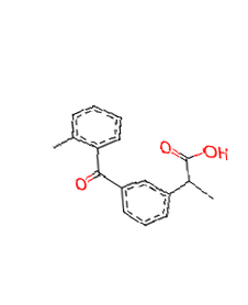 Cc1ccccc1C(=O)c1cccc(C(C)C(=O)O)c1